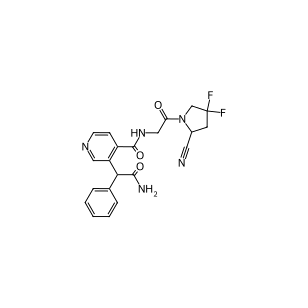 N#CC1CC(F)(F)CN1C(=O)CNC(=O)c1ccncc1C(C(N)=O)c1ccccc1